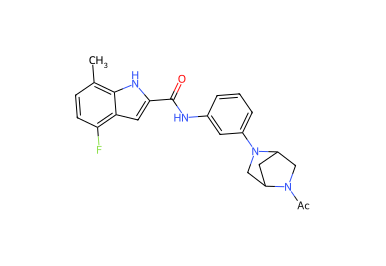 CC(=O)N1CC2CC1CN2c1cccc(NC(=O)c2cc3c(F)ccc(C)c3[nH]2)c1